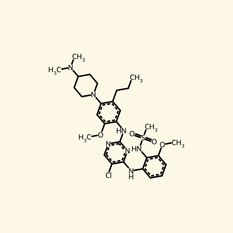 CCCc1cc(Nc2ncc(Cl)c(Nc3cccc(OC)c3NS(C)(=O)=O)n2)c(OC)cc1N1CCC(N(C)C)CC1